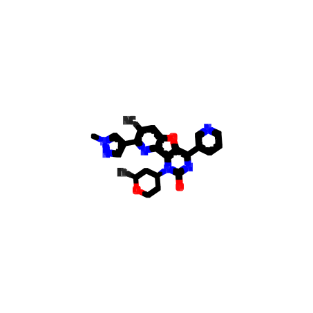 CC[C@H]1C[C@@H](n2c(=O)nc(-c3cccnc3)c3oc4cc(C#N)c(-c5cnn(C)c5)nc4c32)CCO1